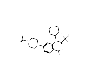 CC(=O)N1CCN(c2ccc(C(=O)O)c(N(C(=O)C(F)(F)F)C3CCOCC3)c2)CC1